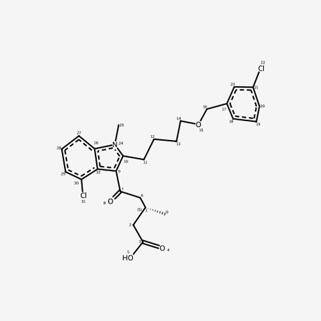 C[C@H](CC(=O)O)CC(=O)c1c(CCCCOCc2cccc(Cl)c2)n(C)c2cccc(Cl)c12